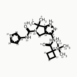 CC1(C)c2[nH]nc(NC(=O)C3([Si](C)(C)C)CCC3)c2CN1C(=O)Nc1ccsc1